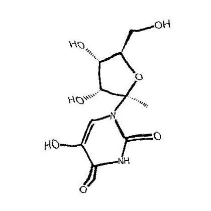 C[C@@]1(n2cc(O)c(=O)[nH]c2=O)O[C@H](CO)[C@@H](O)[C@H]1O